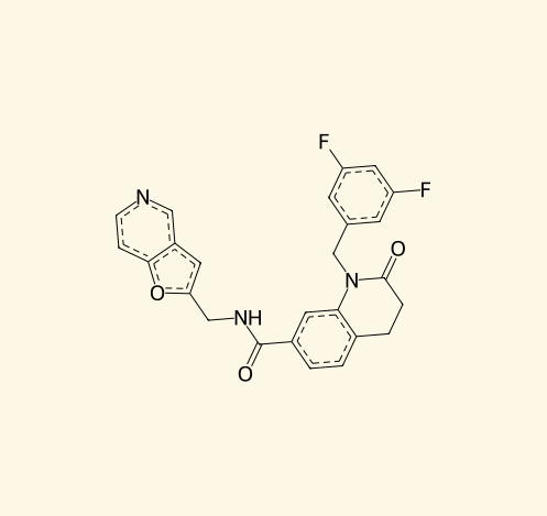 O=C(NCc1cc2cnccc2o1)c1ccc2c(c1)N(Cc1cc(F)cc(F)c1)C(=O)CC2